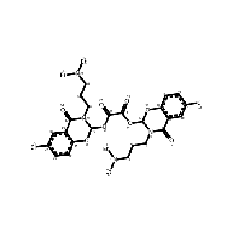 CCN(CC)CCCN1C(=O)c2cc(Cl)ccc2OC1OC(=O)C(=O)OC1Oc2ccc(Cl)cc2C(=O)N1CCCN(CC)CC